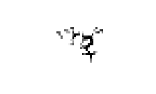 COC(=O)Oc1sc(C(F)(F)F)cc1O